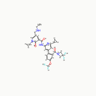 CC(C)CNCc1cc(C(=O)Nc2cc(-c3ccc(OC(F)F)cc3C(=O)N3CC(F)(F)C3)cc(C3CC3)n2)c(=O)n(C2CC2)c1